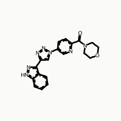 O=C(c1ccc(-n2cc(-c3n[nH]c4ccccc34)nn2)cn1)N1CCOCC1